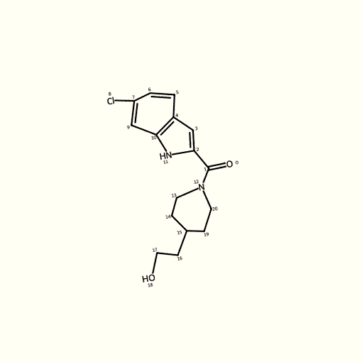 O=C(c1cc2ccc(Cl)cc2[nH]1)N1CCC(CCO)CC1